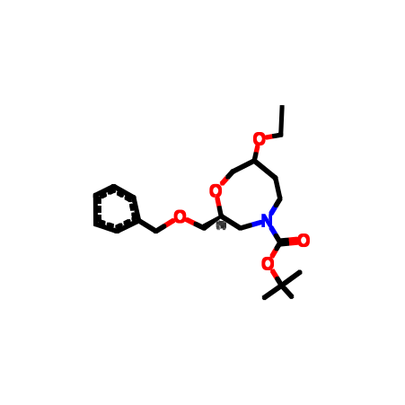 CCOC1CCN(C(=O)OC(C)(C)C)C[C@@H](COCc2ccccc2)OC1